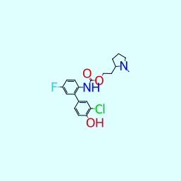 CN1CCCC1CCOC(=O)Nc1ccc(F)cc1-c1ccc(O)c(Cl)c1